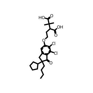 CCCCC1(C2CCCC2)Cc2cc(OCCC(C(=O)O)C(C)(C)C(=O)O)c(Cl)c(Cl)c2C1=O